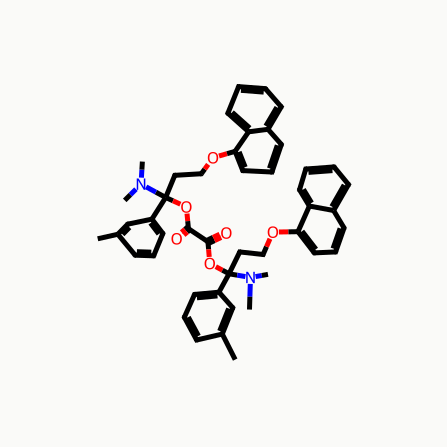 Cc1cccc(C(CCOc2cccc3ccccc23)(OC(=O)C(=O)OC(CCOc2cccc3ccccc23)(c2cccc(C)c2)N(C)C)N(C)C)c1